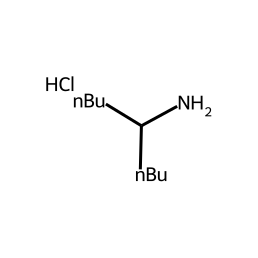 CCCCC(N)CCCC.Cl